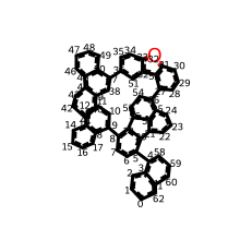 c1ccc2c(-c3ccc(-c4cccc5ccccc45)c4c3-c3cccc5c(-c6cccc7oc8ccc(-c9cc%10ccccc%10c%10ccccc9%10)cc8c67)ccc-4c35)cccc2c1